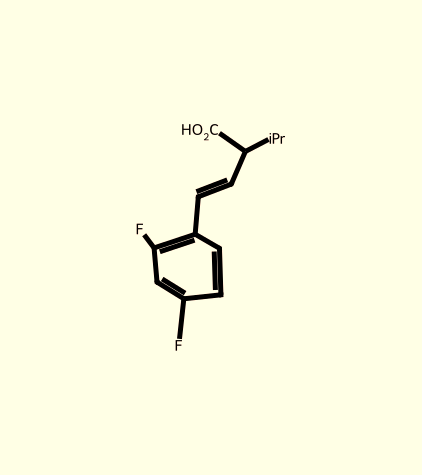 CC(C)C(/C=C/c1ccc(F)cc1F)C(=O)O